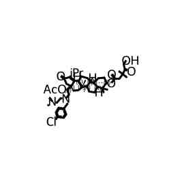 CC(=O)O[C@H](CN(CCN(C)C)Cc1ccc(Cl)cc1)[C@@]12CC[C@]3(C)[C@H](CC[C@@H]4[C@@]5(C)CC[C@H](OC(=O)CC(C)(C)C(=O)CO)C(C)(C)[C@@H]5CC[C@]43C)C1=C(C(C)C)C(=O)C2